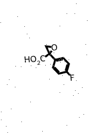 O=C(O)C1(c2ccc(F)cc2)CO1